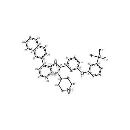 FC(F)(F)c1cccc(Oc2cccc(-c3nc4c(-c5ccc6ccccc6c5)ccnc4n3C3CCNCC3)c2)c1